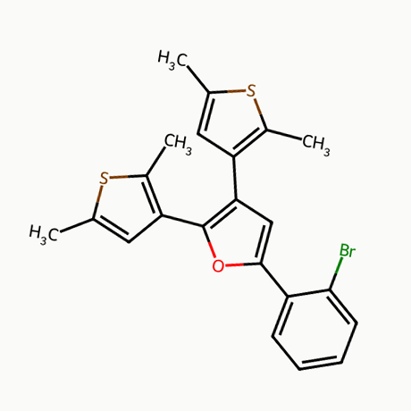 Cc1cc(-c2cc(-c3ccccc3Br)oc2-c2cc(C)sc2C)c(C)s1